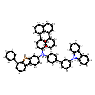 c1ccc(-c2cccc3c2sc2cc(N(c4ccc(-c5cccc(-n6c7ccccc7c7ccccc76)c5)cc4)c4ccc(-c5cccc6cccc(-c7ccccc7)c56)cc4)ccc23)cc1